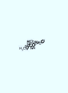 COc1cc2c(C3C(=O)Nc4nc(C)ncc43)ncnc2cc1OCCOc1ccncc1.Cl